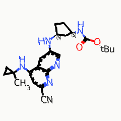 CC1(Nc2cc(C#N)nc3ncc(N[C@H]4CC[C@H](NC(=O)OC(C)(C)C)C4)cc23)CC1